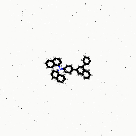 c1ccc(-c2cc(-c3ccc(N(c4cccc5ccccc45)c4cccc5ccccc45)cc3)cc3ccccc23)cc1